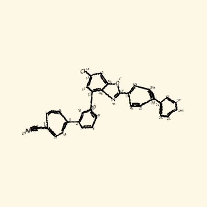 N#Cc1ccc(-c2cccc(-c3cc(Cl)cc4oc(-c5ccc(-c6ccccc6)cc5)nc34)c2)cc1